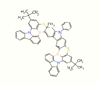 CC12Cc3c(c4cc5c(cc4n3-c3ccccc3)Sc3cc(C(C)(C)C)cc4c3B5c3cccc5c6ccccc6n-4c35)C=C1B1c3c(cc(C(C)(C)C)cc3-n3c4ccccc4c4cccc1c43)S2